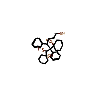 S[CH]CCC(c1ccccc1)C([C](S)C1(S)CCCCC1)(c1ccccc1)C1(S)CCCCC1